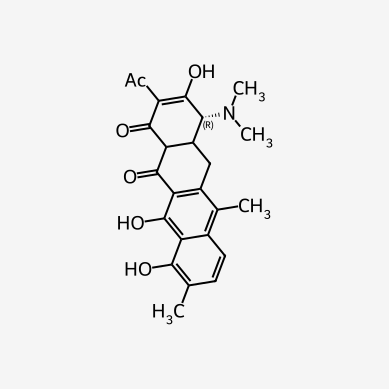 CC(=O)C1=C(O)[C@H](N(C)C)C2Cc3c(c(O)c4c(O)c(C)ccc4c3C)C(=O)C2C1=O